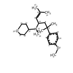 COc1ccc(C(C)(C)CC(C=C(C)C)N(C)C2CCOCC2)cc1